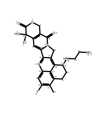 CC[C@@]1(O)C(=O)OCc2c1cc1n(c2=O)Cc2c-1nc1cc(F)c(C)c3c1c2[C@@H](NCCN)CC3